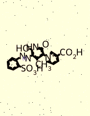 Cc1c(/N=N/c2ccccc2S(=O)(=O)O)c(O)[nH]c(=O)c1-[n+]1cccc(C(=O)O)c1